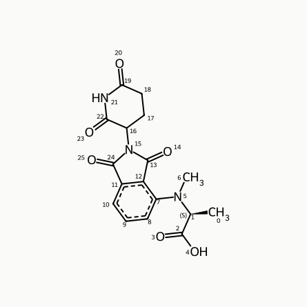 C[C@@H](C(=O)O)N(C)c1cccc2c1C(=O)N(C1CCC(=O)NC1=O)C2=O